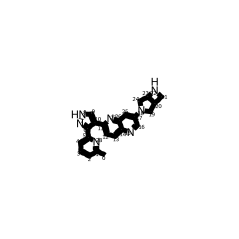 Cc1cccc(-c2n[nH]cc2-c2ccc3ncc(N4CC5CNC5C4)cc3n2)n1